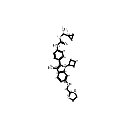 C[C@@H](OC(=O)Nc1ccc(-c2c(C#N)c3ccc(OCC4OCCO4)cc3n2C2CCC2)cc1)C1CC1